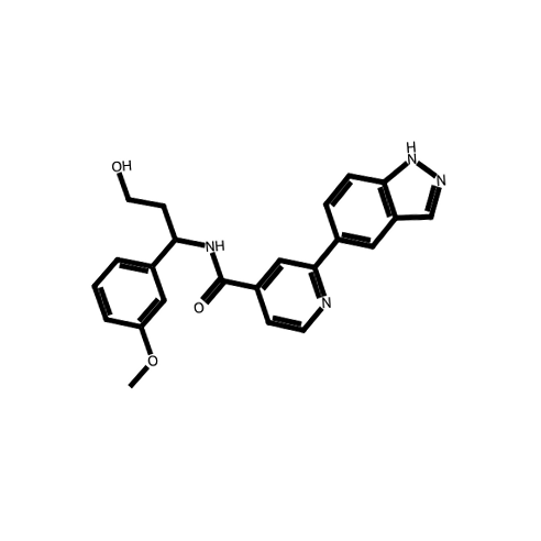 COc1cccc(C(CCO)NC(=O)c2ccnc(-c3ccc4[nH]ncc4c3)c2)c1